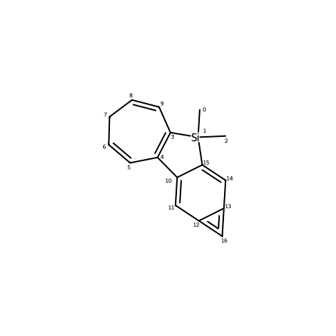 C[Si]1(C)C2=C(C=CCC=C2)c2cc3c(cc21)=C=3